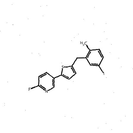 Cc1ccc(I)cc1Cc1ccc(-c2ccc(F)nc2)s1